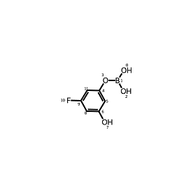 OB(O)Oc1cc(O)cc(F)c1